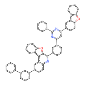 c1ccc(-c2cccc(-c3ccc4nc(-c5cccc(-c6cc(-c7ccc8oc9ccccc9c8c7)nc(-c7ccccc7)n6)c5)c5oc6ccccc6c5c4c3)c2)cc1